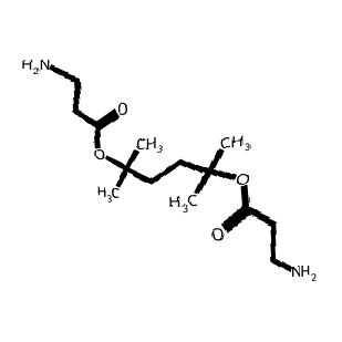 CC(C)(CCC(C)(C)OC(=O)CCN)OC(=O)CCN